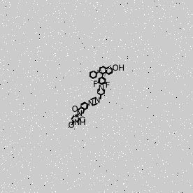 O=C1CC[C@@H](N2Cc3cc(N4CCN(CC5CCN(c6c(F)cc([C@@H]7c8ccc(O)cc8CC[C@@H]7C7CCCCC7)cc6F)CC5)CC4)ccc3C2=O)C(=O)N1